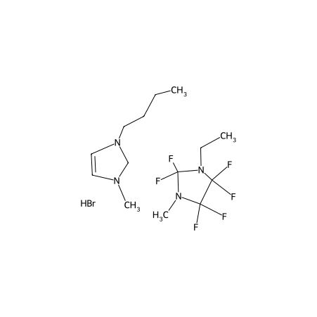 Br.CCCCN1C=CN(C)C1.CCN1C(F)(F)N(C)C(F)(F)C1(F)F